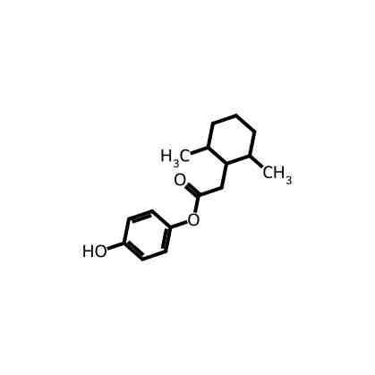 CC1CCCC(C)C1CC(=O)Oc1ccc(O)cc1